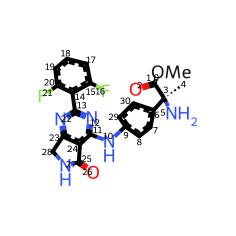 COC(=O)[C@@](C)(N)c1ccc(Nc2nc(-c3c(F)cccc3F)nc3c2C(=O)NC3)cc1